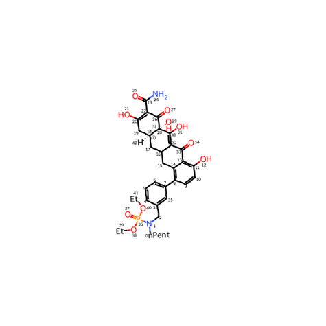 CCCCCN(Cc1cccc(-c2ccc(O)c3c2CC2C[C@H]4CC(O)=C(C(N)=O)C(=O)[C@@]4(O)C(O)=C2C3=O)c1)P(=O)(OCC)OCC